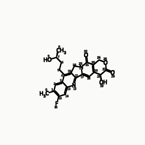 Cc1cc2c(CC[C@H](C)O)c3c(nc2cc1F)-c1cc2c(c(=O)n1C3)COC(=O)[C@H]2O